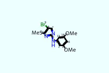 COc1cc(Nc2ncc(Br)c(SC)n2)cc(OC)c1